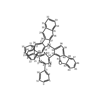 c1ccc(-c2nc(-c3ccccc3)nc(-c3c(-n4c5cc6ccccc6cc5c5cc6ccccc6cc54)ccc4c3oc3ccccc34)n2)cc1